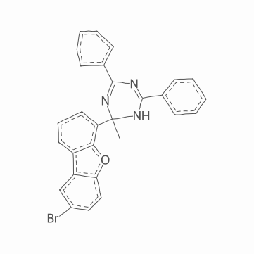 CC1(c2cccc3c2oc2ccc(Br)cc23)N=C(c2ccccc2)N=C(c2ccccc2)N1